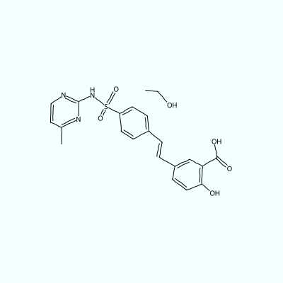 CCO.Cc1ccnc(NS(=O)(=O)c2ccc(C=Cc3ccc(O)c(C(=O)O)c3)cc2)n1